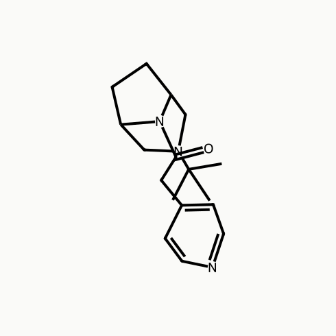 CC(C)(C)N1CC2CCC(C1)N2C(=O)Cc1ccncc1